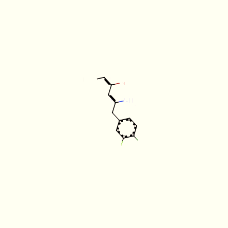 C/C=C(Br)\C=C(/N)Cc1ccc(Cl)c(F)c1